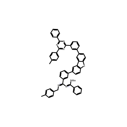 CN/C(=N\C(=N/Cc1ccc(C)cc1)c1cccc(-c2ccc3sc4ccc(-c5cccc(-c6nc(-c7ccccc7)nc(-c7ccc(C)cc7)n6)c5)cc4c3c2)c1)c1ccccc1